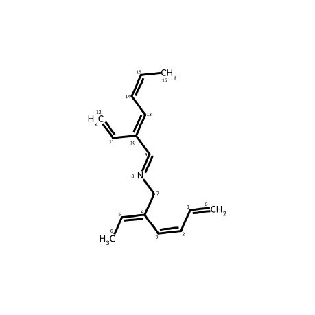 C=C/C=C\C(=C/C)C/N=C/C(C=C)=C/C=C\C